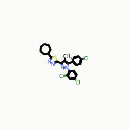 Cc1c(-c2nnc(C3CCCCCC3)s2)nn(-c2ccc(Cl)cc2Cl)c1-c1ccc(Cl)cc1